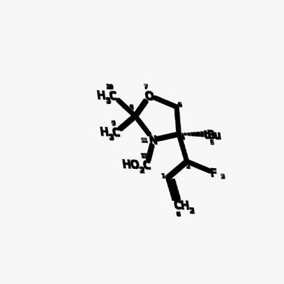 C=CC(F)[C@]1(C(C)(C)C)COC(C)(C)N1C(=O)O